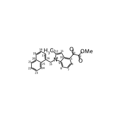 COC(=O)C(=O)c1cccc2c1cc(C)n2Cc1cccc2ccccc12